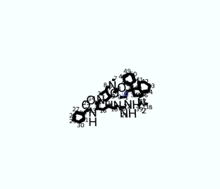 C/C=C(\OC(=O)N(C)CC1CCN(C(=O)C(CCCNC(=N)N)NC(=O)c2ccccc2)C1)C(CC(C)N(C)C)(C1=CCCC=C1)c1ccccc1